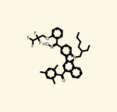 CCCCC(CC)Cn1c2ccc(C(=NO)c3ccccc3OCC(F)(F)C(F)F)cc2c2cc(C(=O)c3c(C)cc(C)cc3C)c3ccccc3c21